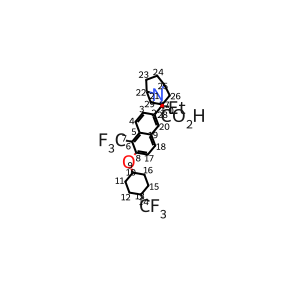 CC[C@@H](c1ccc2c(C(F)(F)F)c(OC3CCC(C(F)(F)F)CC3)ccc2c1)N1C2CCC1CC(C(=O)O)C2